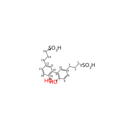 O=S(=O)(O)CCCc1ccc(O)c(-c2cc(CCCS(=O)(=O)O)ccc2O)c1